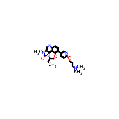 CCC1COc2c(-c3ccc(OCCCN(C)C)nc3)ccc3ncc4c(c23)n1c(=O)n4C